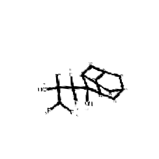 CC(O)(C(F)F)C(F)(F)C1(O)C2CC3CC(C2)CC1C3